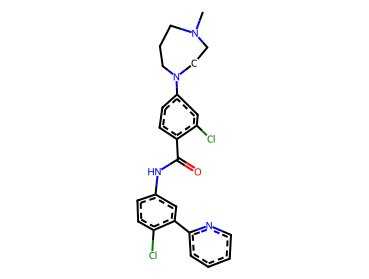 CN1CCCN(c2ccc(C(=O)Nc3ccc(Cl)c(-c4ccccn4)c3)c(Cl)c2)CC1